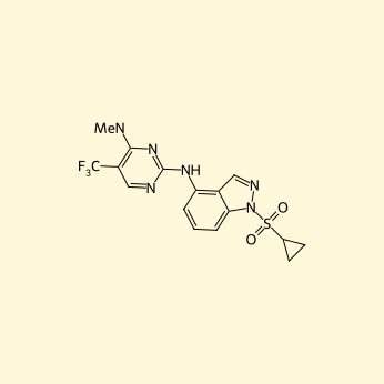 CNc1nc(Nc2cccc3c2cnn3S(=O)(=O)C2CC2)ncc1C(F)(F)F